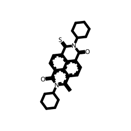 C=c1c2ccc3c4c(ccc(c(=O)n1C1CCCCC1)c42)C(=S)N(C1CCCCC1)C3=O